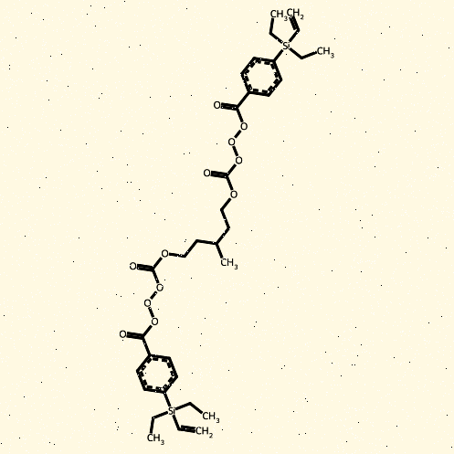 C=C[Si](CC)(CC)c1ccc(C(=O)OOOC(=O)OCCC(C)CCOC(=O)OOOC(=O)c2ccc([Si](C=C)(CC)CC)cc2)cc1